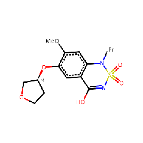 COc1cc2c(cc1O[C@H]1CCOC1)C(O)=NS(=O)(=O)N2C(C)C